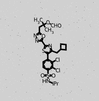 CC(C)NS(=O)(=O)c1ccc(-c2sc(-c3nnc(CC(C)(C)OC=O)o3)nc2CC2CCC2)c(Cl)c1Cl